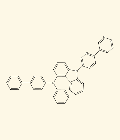 c1ccc(-c2ccc(N(c3ccccc3)c3cccc4c3c3ccccc3n4-c3ccc(-c4cccnc4)nc3)cc2)cc1